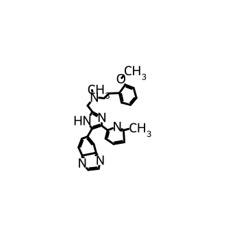 COc1ccccc1CCN(C)Cc1nc(-c2cccc(C)n2)c(-c2ccc3nccnc3c2)[nH]1